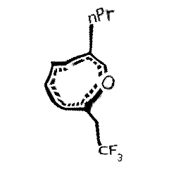 CCCc1ccc(C(F)(F)F)o1